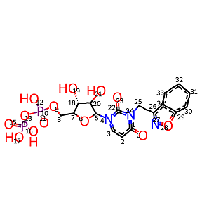 O=c1ccn(C2OC(COP(=O)(O)OP(=O)(O)O)[C@H](O)C2O)c(=O)n1Cc1noc2ccccc12